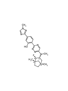 CN(c1cnc(-c2ccc(-c3ncn(C)n3)cc2O)nn1)[C@H]1C[C@]2(C)CC[C@@](C)(C2)[C@H]1F